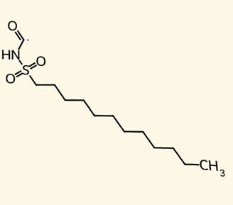 CCCCCCCCCCCCS(=O)(=O)N[C]=O